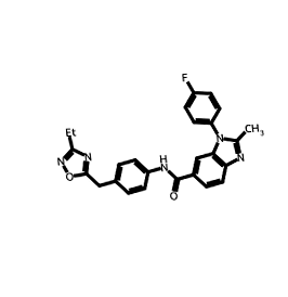 CCc1noc(Cc2ccc(NC(=O)c3ccc4nc(C)n(-c5ccc(F)cc5)c4c3)cc2)n1